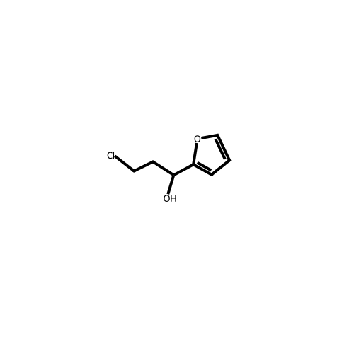 OC(CCCl)c1ccco1